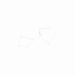 C1=C(N2CCC2)[N]CC1